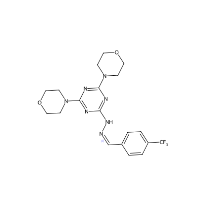 FC(F)(F)c1ccc(/C=N\Nc2nc(N3CCOCC3)nc(N3CCOCC3)n2)cc1